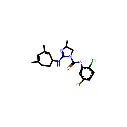 CC1=CC(NC2=NC(C)CN2C(=S)Nc2cc(Cl)ccc2Cl)CCC(C)=C1